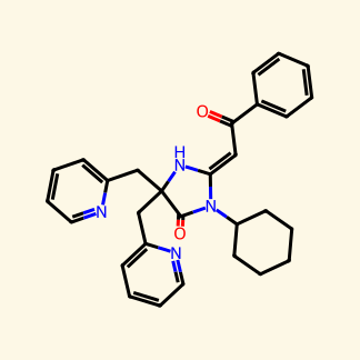 O=C(/C=C1\NC(Cc2ccccn2)(Cc2ccccn2)C(=O)N1C1CCCCC1)c1ccccc1